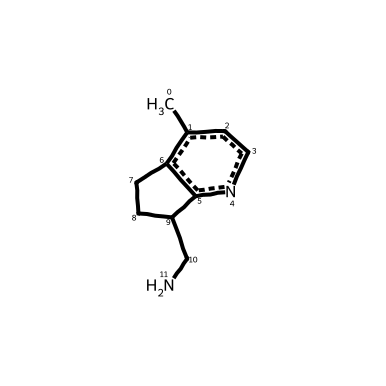 Cc1ccnc2c1CCC2CN